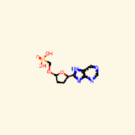 O=P(O)(O)COC1CCC(c2nc3ncncc3[nH]2)O1